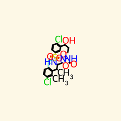 Cc1c(Cl)ccc(F)c1C(C)C(NS(=O)(=O)c1ccc(Cl)c2c1OCCC2O)c1n[nH]c(=O)o1